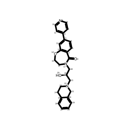 O=C1c2ccc(-c3ccncc3)cc2OCCN1C[C@H](O)CN1CCc2ccccc2C1